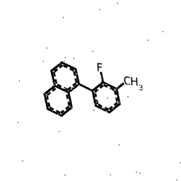 Cc1cccc(-c2cccc3ccccc23)c1F